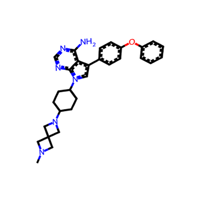 CN1CC2(C1)CN(C1CCC(n3cc(-c4ccc(Oc5ccccc5)cc4)c4c(N)ncnc43)CC1)C2